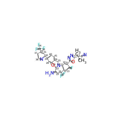 CC(C)(C#N)c1nnc(-c2cc3c(cc2F)C(F)(F)C[C@H](N)C(=O)N3Cc2ccc(-c3cc(C(F)(F)F)ccn3)cc2)o1